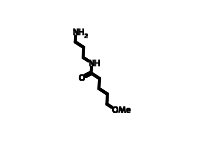 COCCCCC(=O)NCCCN